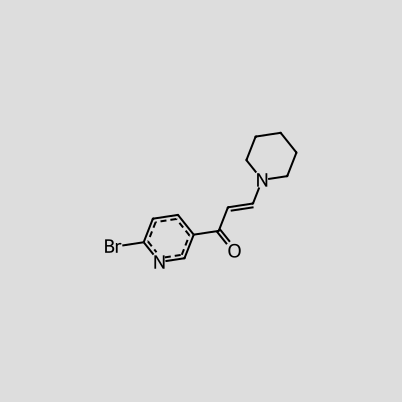 O=C(C=CN1CCCCC1)c1ccc(Br)nc1